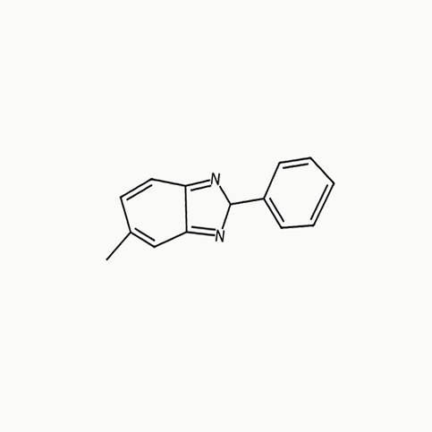 Cc1ccc2c(c1)=NC(c1ccccc1)N=2